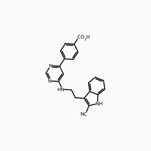 N#Cc1[nH]c2ccccc2c1CCNc1cc(-c2ccc(C(=O)O)cc2)ncn1